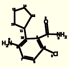 NC(=O)c1c(Cl)ccc(N)c1C1CCCC1